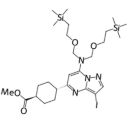 COC(=O)[C@H]1CC[C@H](c2cc(N(COCC[Si](C)(C)C)COCC[Si](C)(C)C)n3ncc(I)c3n2)CC1